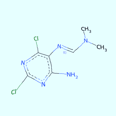 CN(C)/C=N/c1c(N)nc(Cl)nc1Cl